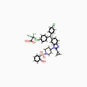 O=C(O)C(F)(F)F.O=S(=O)(c1ccccc1O)N1CCC(n2c(C3CC3)nc3ccc(C(c4ccc(Cl)cc4)c4ccc(Cl)cc4)cc32)CC1